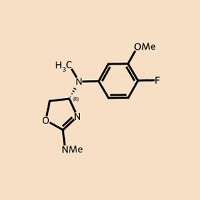 CNC1=N[C@@H](N(C)c2ccc(F)c(OC)c2)CO1